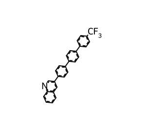 FC(F)(F)c1ccc(-c2ccc(-c3ccc(-c4cnc5ccccc5c4)cc3)cc2)cc1